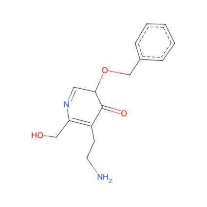 NCCC1=C(CO)N=CC(OCc2ccccc2)C1=O